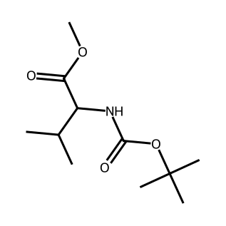 COC(=O)C(NC(=O)OC(C)(C)C)C(C)C